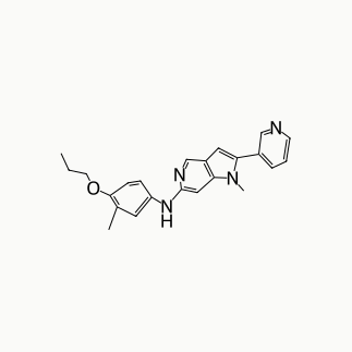 CCCOc1ccc(Nc2cc3c(cn2)cc(-c2cccnc2)n3C)cc1C